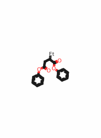 CCC(CC(=O)Oc1ccccc1)C(=O)Oc1ccccc1